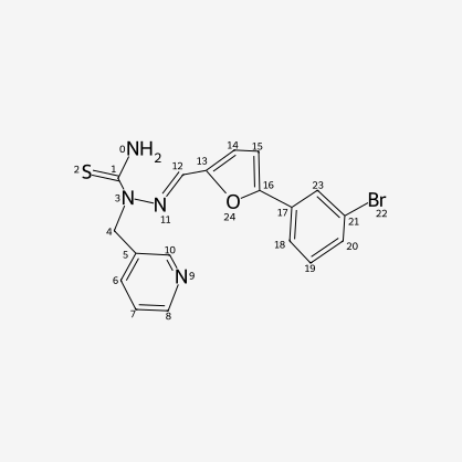 NC(=S)N(Cc1cccnc1)N=Cc1ccc(-c2cccc(Br)c2)o1